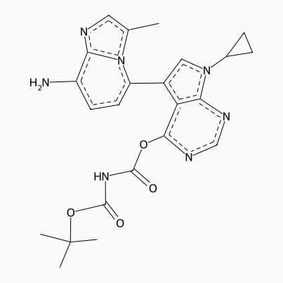 Cc1cnc2c(N)ccc(-c3cn(C4CC4)c4ncnc(OC(=O)NC(=O)OC(C)(C)C)c34)n12